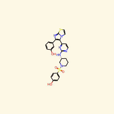 O=S(=O)(c1ccc(O)cc1)N1CCC[C@@H](Nc2nccc(-c3c(-c4cccc(O)c4)nc4sccn34)n2)C1